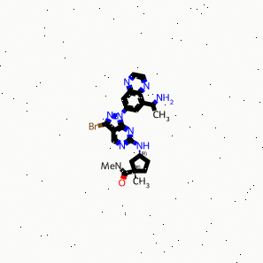 CNC(=O)[C@]1(C)CC[C@@H](Nc2ncc3c(Br)nn(-c4cc(C(C)N)c5nccnc5c4)c3n2)C1